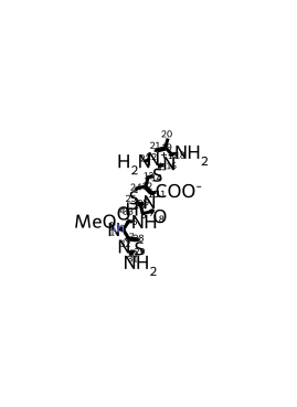 CO/N=C(\C(=O)NC1C(=O)N2C(C(=O)[O-])=C(CSc3nc(N)c(C)c[n+]3N)CS[C@H]12)c1csc(N)n1